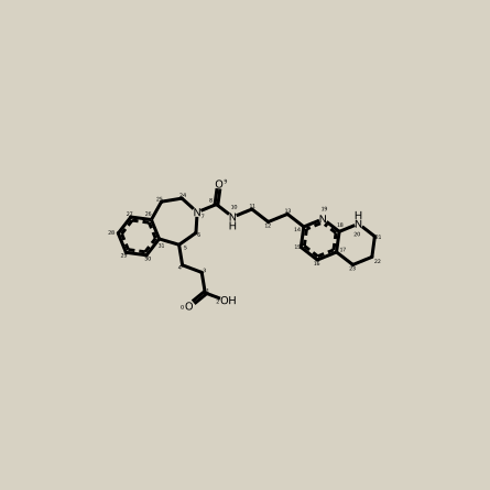 O=C(O)CCC1CN(C(=O)NCCCc2ccc3c(n2)NCCC3)CCc2ccccc21